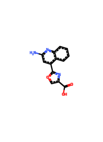 Nc1cc(-c2nc(C(=O)O)co2)c2ccccc2n1